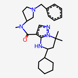 CN(C(=O)c1cnn2c1NC(C1CCCCC1)CC2(C)C)C1CCN(Cc2ccccc2)C1